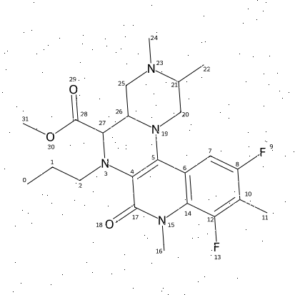 CCCN1c2c(c3cc(F)c(C)c(F)c3n(C)c2=O)N2CC(C)N(C)CC2C1C(=O)OC